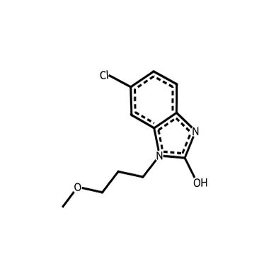 COCCCn1c(O)nc2ccc(Cl)cc21